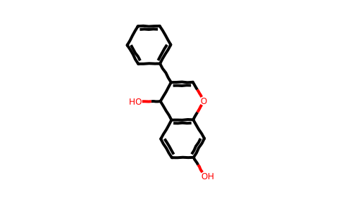 Oc1ccc2c(c1)OC=C(c1ccccc1)C2O